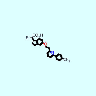 CC[C@H](C(=O)O)[C@@H]1CCc2cc(OCCc3cccc(-c4ccc(C(F)(F)F)cc4)n3)ccc21